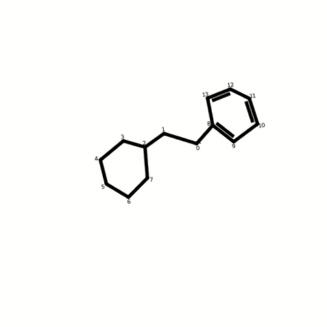 [CH](CC1CCCCC1)c1ccccc1